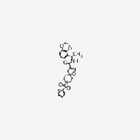 CC(NC(=O)C1=NOC2(CCN(S(=O)(=O)c3cccs3)CC2)C1)c1cccc2c1OCCO2